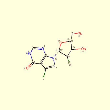 O=c1[nH]cnc2c1c(F)cn2[C@@H]1O[C@H](CO)C(O)C1F